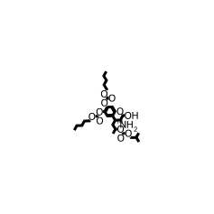 CCCCCOC(=O)Oc1ccc(C(CC(C)OC(=O)OCC(C)C)[C@H](N)C(=O)O)cc1OC(=O)OCCCCC